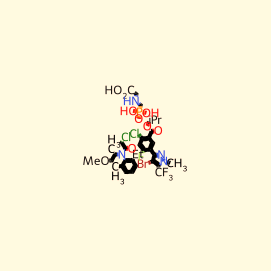 CC(C)OC(=O)c1cc(-c2nn(C)c(C(F)(F)F)c2Br)c(F)cc1Cl.CCc1cccc(C)c1N(C(=O)CCl)C(C)COC.O=C(O)CNCP(=O)(O)O